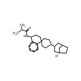 CN(C)C(=O)N[C@H]1CCC2(CCN([C@H]3CC4CC[C@H](C4)C3)CC2)c2ccccc21